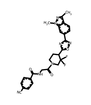 Cc1nn(C)c2cc(-c3noc(C4CCN(C(=O)CNC(=O)c5ccc(C#N)cc5)CC4(F)F)n3)ccc12